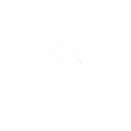 COc1nnc(OCCNCCCF)cc1C1c2[nH]c3ccccc3c2C[C@@H](C)N1CC(F)(F)F